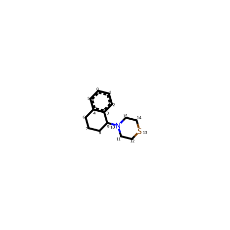 c1ccc2c(c1)CCCC2N1CCSCC1